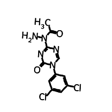 CC(=O)N(N)c1ncn(-c2cc(Cl)cc(Cl)c2)c(=O)n1